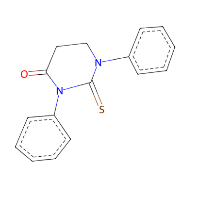 O=C1CCN(c2ccccc2)C(=S)N1c1ccccc1